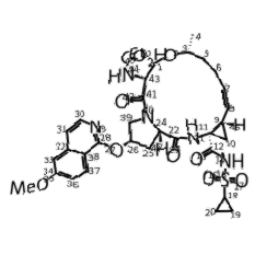 CC[C@@H]1O[C@H](C)CCC=C[C@@H]2C[C@@]2(C(=O)NS(=O)(=O)C2CC2)NC(=O)[C@@H]2C[C@@H](Oc3nccc4cc(OC)ccc34)CN2C(=O)[C@H]1NC(=O)O